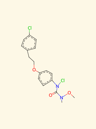 CON(C)C(=O)N(Cl)c1ccc(OCCc2ccc(Cl)cc2)cc1